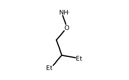 CCC(CC)CO[NH]